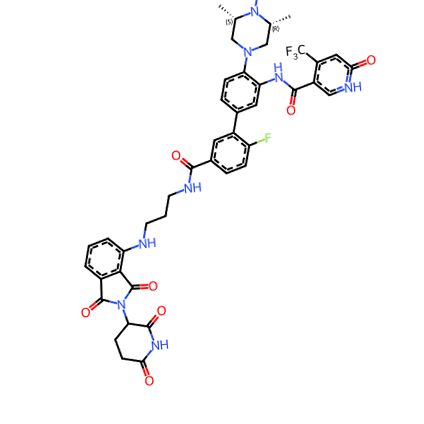 C[C@@H]1CN(c2ccc(-c3cc(C(=O)NCCCNc4cccc5c4C(=O)N(C4CCC(=O)NC4=O)C5=O)ccc3F)cc2NC(=O)c2c[nH]c(=O)cc2C(F)(F)F)C[C@H](C)N1C